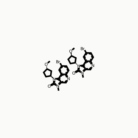 CO[C@@H]1CC[C@@H](n2c(=O)n(C)c3cnc4ccc(Br)cc4c32)C1.CO[C@H]1CC[C@H](n2c(=O)n(C)c3cnc4ccc(Br)cc4c32)C1